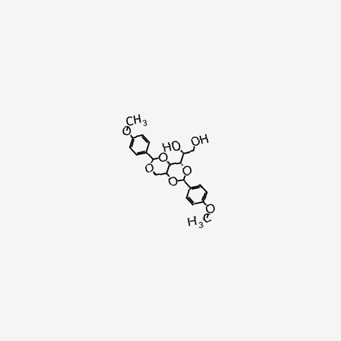 COc1ccc(C2OCC3OC(c4ccc(OC)cc4)O[C@@H]([C@@H](O)CO)C3O2)cc1